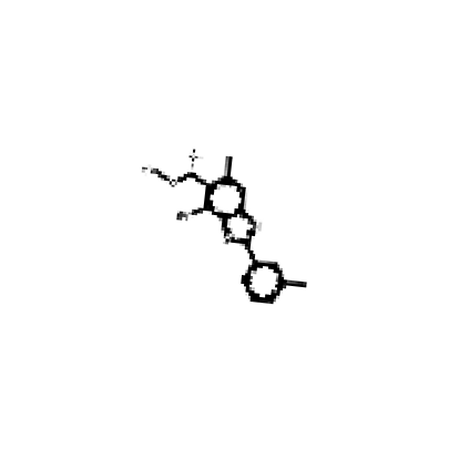 CC(=O)[C@@H](OC(C)(C)C)c1c(C)cc2nc(-c3cccc(C)c3)sc2c1C(C)C